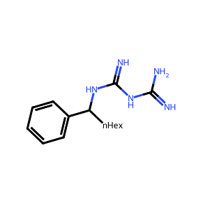 CCCCCCC(NC(=N)NC(=N)N)c1ccccc1